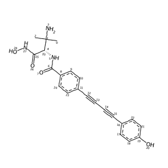 CC(C)(N)[C@H](NC(=O)c1ccc(C#CC#Cc2ccc(O)cc2)cc1)C(=O)NO